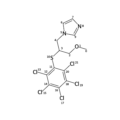 COCC(Cn1ccnc1)Sc1c(Cl)c(Cl)c(Cl)c(Cl)c1Cl